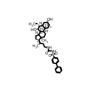 CC[C@H]1[C@@H](O)[C@@H]2[C@H](CC[C@]3(C)[C@@H]([C@H](C)CCNC(=O)NS(=O)(=O)c4ccc(-c5ccccc5)cc4)CC[C@@H]23)[C@@]2(C)CC[C@@H](O)C[C@@H]12